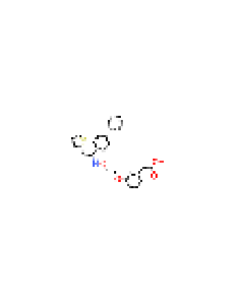 O=C(O)Cc1cccc(OCCON=C(Cc2cccs2)c2ccc(-c3ccccc3)cc2)c1